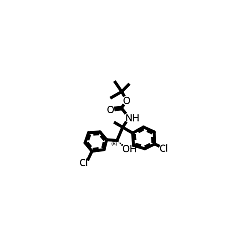 CC(C)(C)OC(=O)NC(C)(c1ccc(Cl)cc1)[C@H](O)c1cccc(Cl)c1